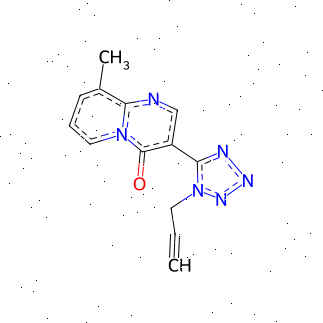 C#CCn1nnnc1-c1cnc2c(C)cccn2c1=O